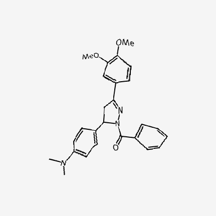 COc1ccc(C2=NN(C(=O)c3ccccc3)C(c3ccc(N(C)C)cc3)C2)cc1OC